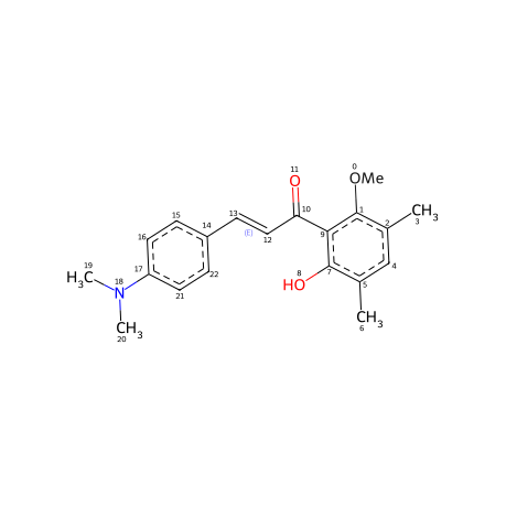 COc1c(C)cc(C)c(O)c1C(=O)/C=C/c1ccc(N(C)C)cc1